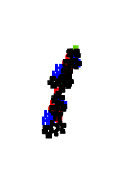 O=C(Nc1c2c(cc3c1CCC3)CCC2)NS(=O)(=O)c1cnn2c1OCC(OCc1c3c(c(NC(=O)NS(=O)(=O)c4cnn5c4OCC(F)C5)c4c1CCC4)CCC3)C2